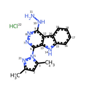 Cc1cc(C)n(-c2nnc(NN)c3c2[nH]c2ccccc23)n1.Cl